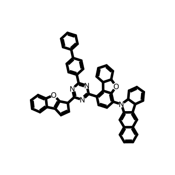 C1=CC2Oc3c(N4c5cc6ccccc6cc5C5C=CC=CC54)ccc(-c4nc(-c5ccc(-c6ccccc6)cc5)nc(C5C=Cc6c5oc5ccccc65)n4)c3C2C=C1